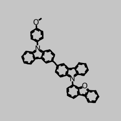 COc1ccc(-n2c3ccccc3c3cc(-c4ccc5c(c4)c4ccccc4n5-c4cccc5c4oc4ccccc45)ccc32)cc1